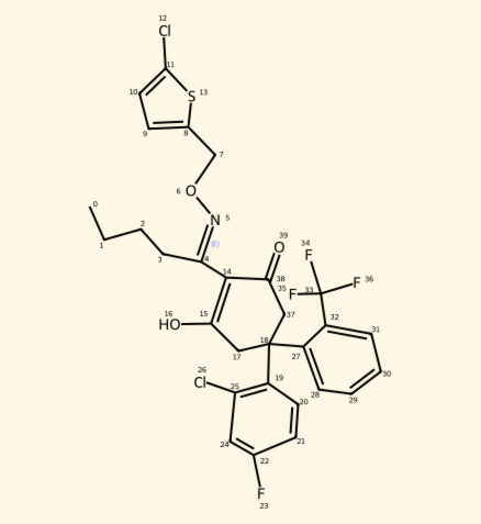 CCCC/C(=N\OCc1ccc(Cl)s1)C1=C(O)CC(c2ccc(F)cc2Cl)(c2ccccc2C(F)(F)F)CC1=O